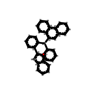 c1ccc(N(c2ccccc2-c2cc3ccccc3o2)c2cc3ccccc3c3ccccc23)cc1